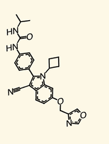 CC(C)NC(=O)Nc1ccc(-c2c(C#N)c3ccc(OCc4cocn4)cc3n2C2CCC2)cc1